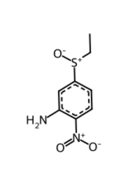 CC[S+]([O-])c1ccc([N+](=O)[O-])c(N)c1